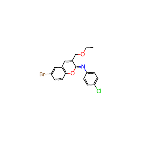 CCOCc1cc2cc(Br)ccc2oc1=Nc1ccc(Cl)cc1